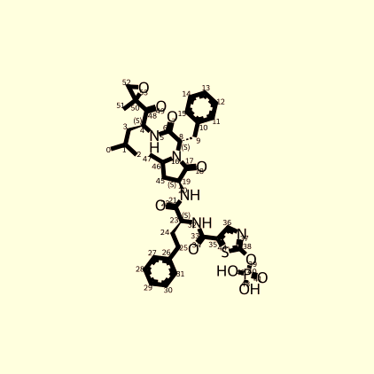 CC(C)C[C@H](NC(=O)[C@H](Cc1ccccc1)N1C(=O)[C@@H](NC(=O)[C@H](CCc2ccccc2)NC(=O)c2cnc(OP(=O)(O)O)s2)CC1C)C(=O)C1(C)CO1